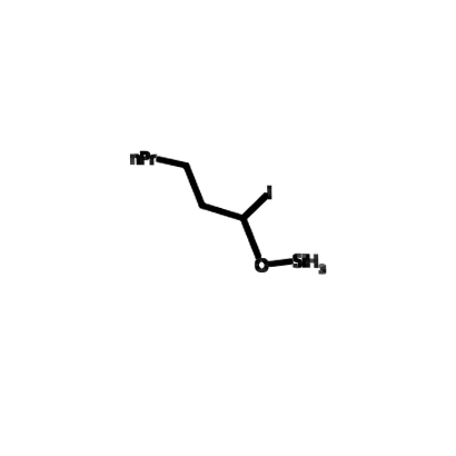 CCCCCC(I)O[SiH3]